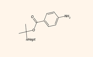 CCCCCCCC(C)(C)OC(=O)c1ccc(N)cc1